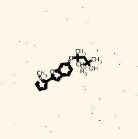 Cn1cccc1-c1cc2ccc(OC(C)(C)CC(C)(C)O)cc2o1